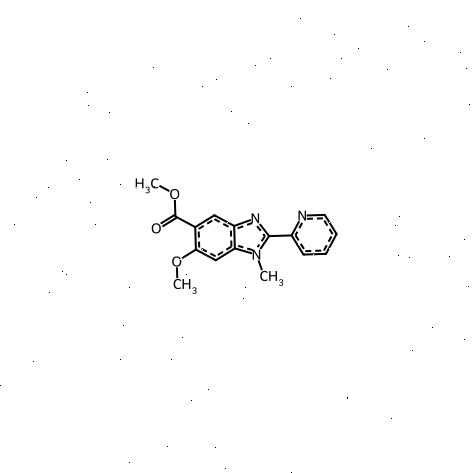 COC(=O)c1cc2nc(-c3ccccn3)n(C)c2cc1OC